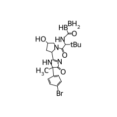 BBC(=O)NC(C(=O)N1CC(O)CC1C1=NC(=O)C(C)(c2ccc(Br)cc2)N1)C(C)(C)C